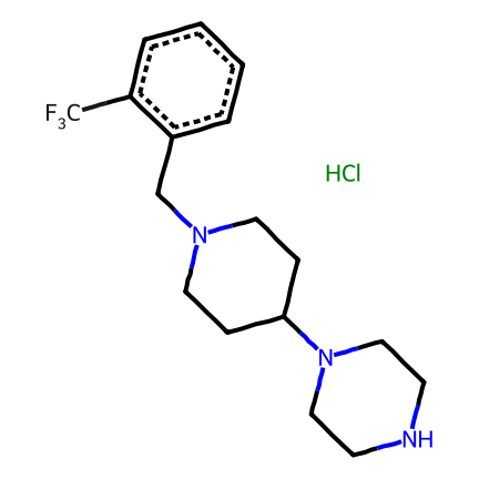 Cl.FC(F)(F)c1ccccc1CN1CCC(N2CCNCC2)CC1